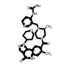 Cc1cc2[nH]c(=O)c3cnn(C4CCOCC4)c3c2cc1C(=O)N1CCN(Cc2cnccc2NC(=O)C(C)(C)C)[C@@H](C)C1